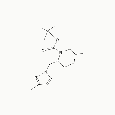 Cc1ccn(CC2CCC(C)CN2C(=O)OC(C)(C)C)n1